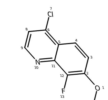 COc1ccc2c(Cl)ccnc2c1F